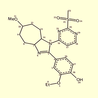 CCOc1cc(C2=NC3CCC(OC)CCC3N2c2ccnc(S(C)(=O)=O)n2)ccc1O